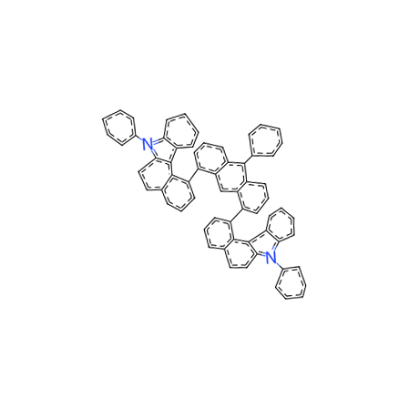 c1ccc(-c2c3cccc(-c4cccc5ccc6c(c7ccccc7n6-c6ccccc6)c45)c3cc3c(-c4cccc5ccc6c(c7ccccc7n6-c6ccccc6)c45)cccc23)cc1